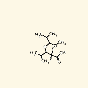 COC(OC(C(C)C)C(F)(F)C(=O)O)C(C)C